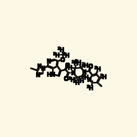 [2H]c1nc(C(=O)N2C([2H])([2H])C([2H])([2H])N(C(=O)C(=O)c3c[nH]c4c(-n5cnc(C)n5)ncc(OC([2H])([2H])[2H])c34)C([2H])([2H])C2([2H])[2H])c([2H])c([2H])c1C